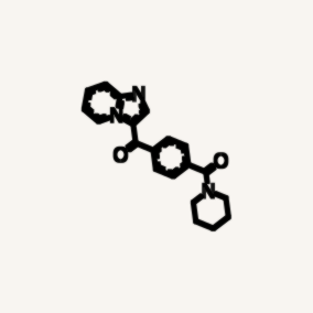 O=C(c1ccc(C(=O)N2CCCCC2)cc1)c1cnc2ccccn12